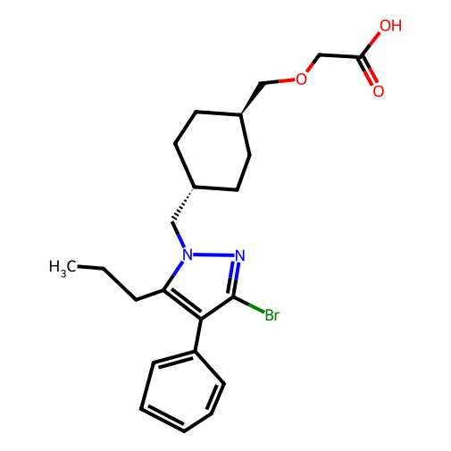 CCCc1c(-c2ccccc2)c(Br)nn1C[C@H]1CC[C@H](COCC(=O)O)CC1